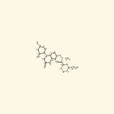 C[C@@H](Cc1ccc2c(-c3ccc(F)cc3Cl)cc(=O)oc2c1)C(=O)N1CCCC(C(=O)O)C1